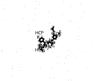 CC(C)C(C)(NC(=O)C(NC(=O)c1nc(-c2ccc(OC(F)F)c(OCC3CC3)c2)oc1[C@H](C)N)c1ccc(F)cc1F)C(=O)O.Cl